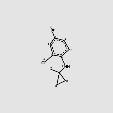 CC1(Nc2ccc(Br)cc2Cl)CC1